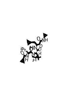 CC(C)C(NC(=O)C1CC1)C(=O)N1C[C@H]2[C@@H]([C@H]1C(=O)NC(CC1CC1)C(=O)C(=O)NC1CC1)C2(C)C